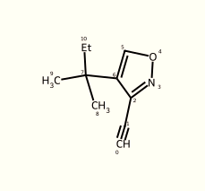 C#Cc1nocc1C(C)(C)CC